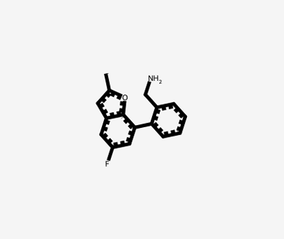 [CH2]c1cc2cc(F)cc(-c3ccccc3CN)c2o1